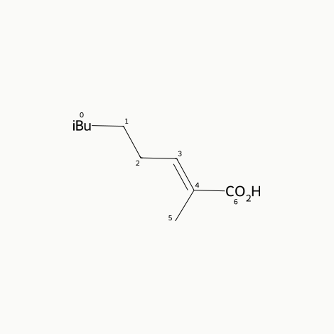 CCC(C)CC/C=C(\C)C(=O)O